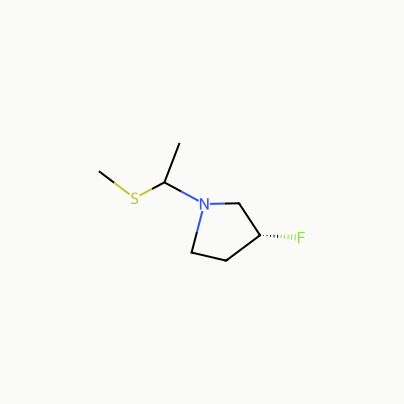 CSC(C)N1CC[C@@H](F)C1